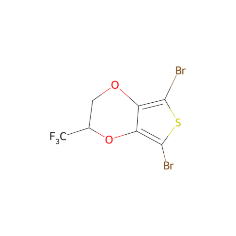 FC(F)(F)C1COc2c(Br)sc(Br)c2O1